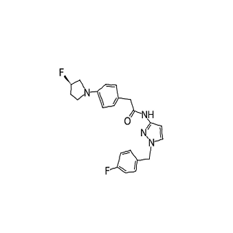 O=C(Cc1ccc(N2CC[C@@H](F)C2)cc1)Nc1ccn(Cc2ccc(F)cc2)n1